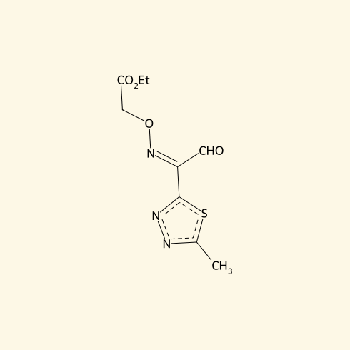 CCOC(=O)CON=C(C=O)c1nnc(C)s1